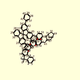 CC1(C)c2ccccc2-c2cc(N(c3ccccc3)c3ccc4c(c3)C3(c5ccccc5-4)c4ccc(-c5ccccc5)cc4-c4cc(-c5ccccc5)c(N(c5ccccc5)c5ccc(CC6CC7CCC(C7)C6)cc5)cc43)ccc21